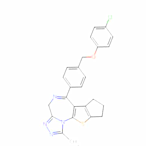 Cc1nnc2n1-c1sc3c(c1C(c1ccc(COc4ccc(Cl)cc4)cc1)=NC2)CCC3